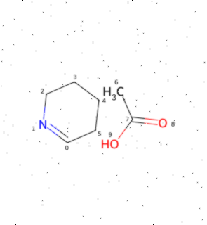 C1=NCCCC1.CC(=O)O